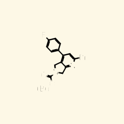 CC(C)(C)OC(=O)N1Cc2nc(Br)cc(-c3ccc(F)cc3)c2C1